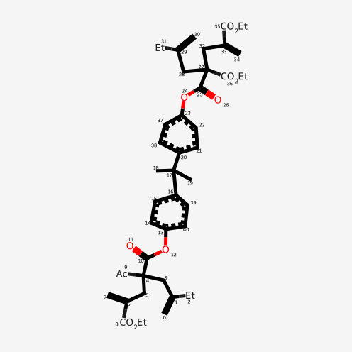 C=C(CC)CC(CC(=C)C(=O)OCC)(C(C)=O)C(=O)Oc1ccc(C(C)(C)c2ccc(OC(=O)C(CC(=C)CC)(CC(=C)C(=O)OCC)C(=O)OCC)cc2)cc1